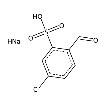 O=Cc1ccc(Cl)cc1S(=O)(=O)O.[NaH]